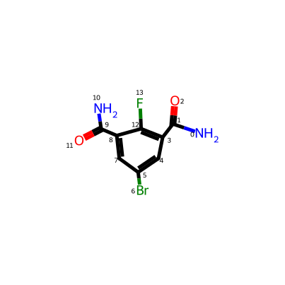 NC(=O)c1cc(Br)cc(C(N)=O)c1F